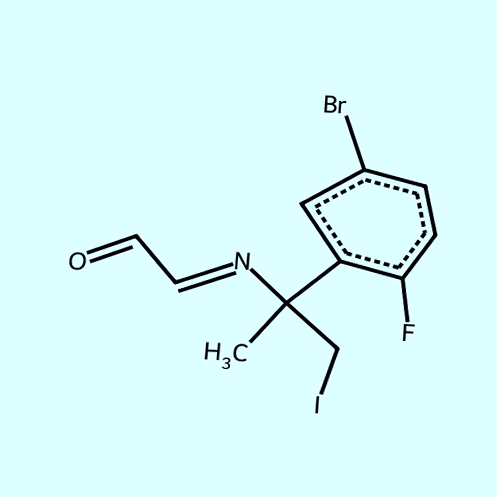 CC(CI)(N=CC=O)c1cc(Br)ccc1F